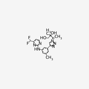 Cc1cc(Nc2nccc(C(F)F)n2)cc(-c2cn([C@@H](C)[C@@](C)(O)CO)nn2)c1